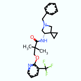 CC(C)(COc1ncccc1C(F)(F)F)C(=O)N[C@@H]1CN(Cc2ccccc2)CC12CC2